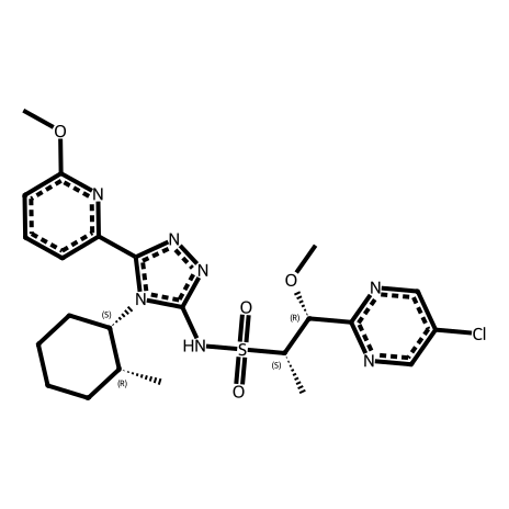 COc1cccc(-c2nnc(NS(=O)(=O)[C@@H](C)[C@H](OC)c3ncc(Cl)cn3)n2[C@H]2CCCC[C@H]2C)n1